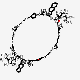 CN[C@@H](C)C(=O)N[C@H](C(=O)N1C[C@@H]2C[C@H]1CN[C@@H](Cc1ccc3ccccc3c1)C(=O)N[C@H](C(=O)O)Cc1ccc(cc1)OCCCn1cc(nn1)CCCCCc1cn(nn1)[C@H]1C[C@@H](C(=O)N[C@@H](Cc3ccc4ccccc4c3)C(=O)N[C@H](C(=O)O)Cc3ccc(cc3)OCCCn3cc(nn3)CCCCCc3cn2nn3)N(C(=O)[C@@H](NC(=O)[C@H](C)NC)C(C)C)C1)C(C)C